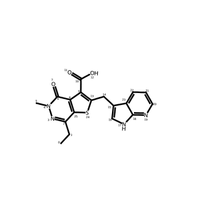 CCc1nn(C)c(=O)c2c(C(=O)O)c(Cc3c[nH]c4ncccc34)sc12